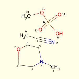 CC#N.CN1CCOCC1.COS(=O)(=O)O